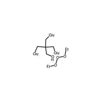 CCOOOCC.OCC(CO)(CO)CO